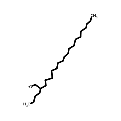 CCCCCCCCCCCCCCCCCCC(C[O])CCCC